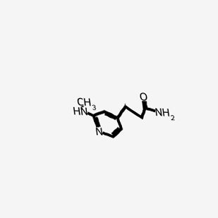 CNc1cc([CH]CC(N)=O)ccn1